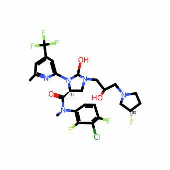 Cc1cc(C(F)(F)F)cc(N2C(O)N(CC(O)CN3CC[C@H](F)C3)C[C@H]2C(=O)N(C)c2ccc(F)c(Cl)c2F)n1